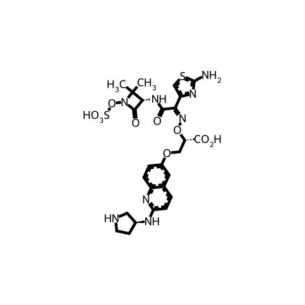 CC1(C)[C@H](NC(=O)/C(=N\O[C@@H](COc2ccc3nc(N[C@H]4CCNC4)ccc3c2)C(=O)O)c2csc(N)n2)C(=O)N1OS(=O)(=O)O